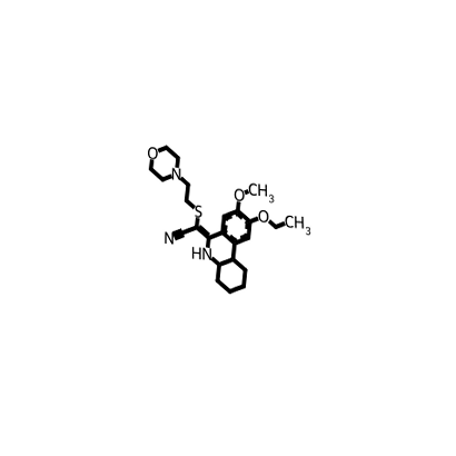 CCOc1cc2c(cc1OC)C(=C(C#N)SCCN1CCOCC1)NC1CCCCC21